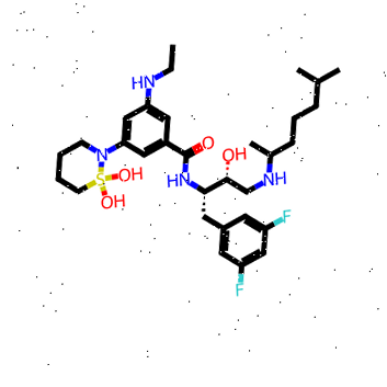 CCNc1cc(C(=O)N[C@@H](Cc2cc(F)cc(F)c2)[C@H](O)CNC(C)CCCC(C)C)cc(N2CCCCS2(O)O)c1